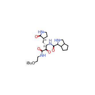 CC(C)COCCNC(=O)C(=O)[C@H](C[C@@H]1CCNC1=O)NC(=O)C1NCC2CCCC21